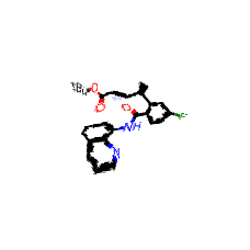 C=C(/C=C/C(=O)OC(C)(C)C)c1cc(F)ccc1C(=O)Nc1cccc2cccnc12